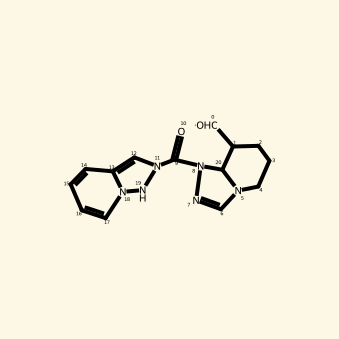 O=[C]C1CCCN2C=NN(C(=O)N3C=C4C=CC=CN4N3)C12